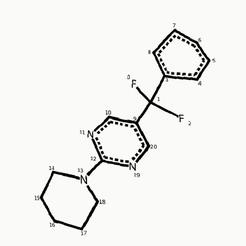 FC(F)(c1ccccc1)c1cnc(N2CCCCC2)nc1